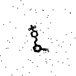 CS(=O)(=O)N1CCN(CCc2cccc(N)c2)CC1